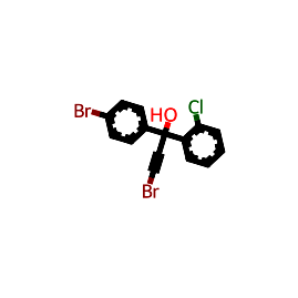 OC(C#CBr)(c1ccc(Br)cc1)c1ccccc1Cl